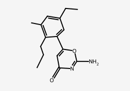 CCCc1c(C)cc(CC)cc1-c1cc(=O)nc(N)o1